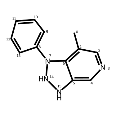 Cc1cncc2c1N(c1ccccc1)NN2